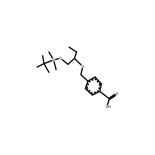 CCC(CO[Si](C)(C)C(C)(C)C)OCc1ccc(C(=O)O)cc1